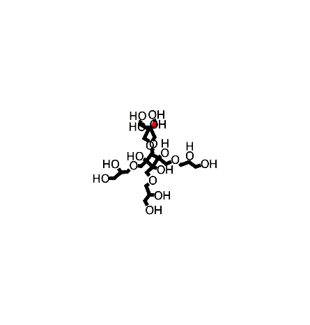 OCC(O)COCC(O)(COCC(O)CO)C(O)(COCC(O)CO)C(O)(COCC(O)CO)COCC(O)CO